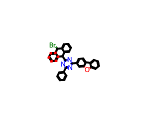 BrC12c3ccccc3C(c3nc(-c4ccccc4)nc(-c4ccc5c(c4)oc4ccccc45)n3)(c3ccccc31)c1ccccc12